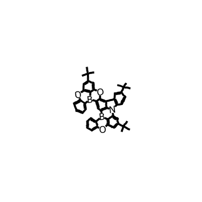 CC(C)(C)c1cc2c3c(c1)Oc1c(cc4c5c1c1cc(C(C)(C)C)ccc1n5-c1cc(C(C)(C)C)cc5c1B4c1ccccc1O5)B3c1ccccc1O2